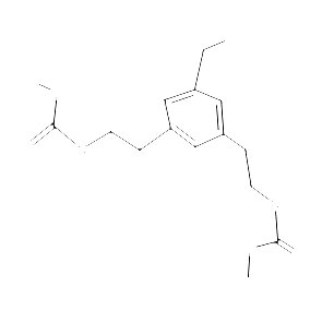 CC(C)(C)OC(=O)NCCc1cc(CO)cc(CCNC(=O)OC(C)(C)C)c1